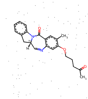 CC(=O)CCCOc1cc2c(cc1C)C(=O)N1c3ccccc3C[C@H]1C=N2